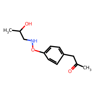 CC(=O)Cc1ccc(ONCC(C)O)cc1